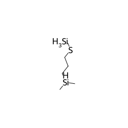 C[SiH](C)CCCS[SiH3]